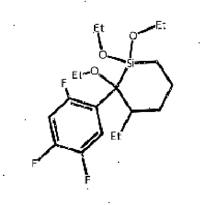 CCOC1(c2cc(F)c(F)cc2F)C(CC)CCC[Si]1(OCC)OCC